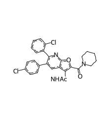 CC(=O)Nc1c(C(=O)N2CCCCC2)oc2nc(-c3ccccc3Cl)c(-c3ccc(Cl)cc3)cc12